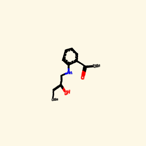 COCC(O)CNc1ccccc1C(=O)OC